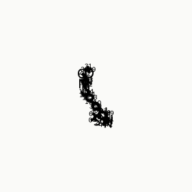 Cc1sc2c(c1C)C(c1ccc(C3CCC4(CC3)CCN(c3cnc(C(=O)OC(C)(C)C)cn3)C4)cc1)=N[C@@H](C)c1nnc(C)n1-2